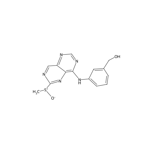 C[S+]([O-])c1ncc2ncnc(Nc3cccc(CO)c3)c2n1